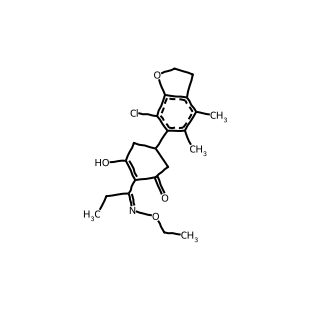 CCO/N=C(/CC)C1=C(O)CC(c2c(C)c(C)c3c(c2Cl)OCC3)CC1=O